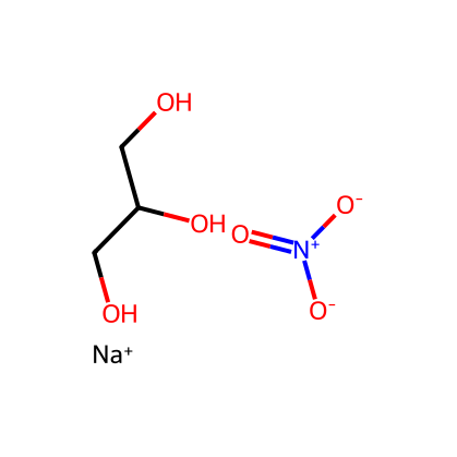 O=[N+]([O-])[O-].OCC(O)CO.[Na+]